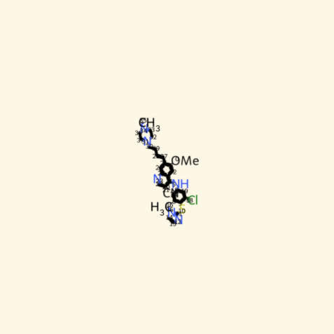 COc1cc2c(Nc3ccc(Sc4nccn4C)c(Cl)c3)c(C#N)cnc2cc1C=CCCN1CCN(C)CC1